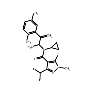 C=C(c1cc(C)ccc1C)C(C)N(C(=O)c1c(C(F)F)nn(C)c1F)C1CC1